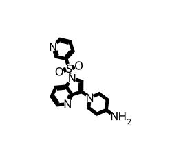 NC1CCN(c2cn(S(=O)(=O)c3cccnc3)c3cccnc23)CC1